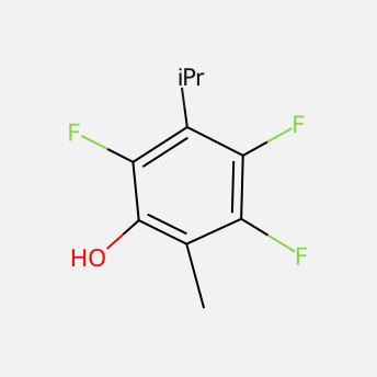 Cc1c(O)c(F)c(C(C)C)c(F)c1F